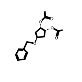 CC(=O)O[C@H]1C[C@H](OCc2ccccc2)C[C@H]1OC(C)=O